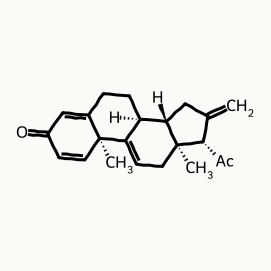 C=C1C[C@H]2[C@@H]3CCC4=CC(=O)C=C[C@]4(C)C3=CC[C@]2(C)[C@H]1C(C)=O